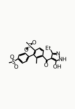 CCc1n[nH]c(O)c1C(=O)c1ccc(S(C)(=O)=O)c(-c2ccc(S(C)(=O)=O)cc2)c1C